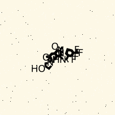 C[C@@H](Nc1nn(C)c(=O)c2cc(=O)n(N3CCC(O)C3)cc12)c1cccc(C(F)(F)F)c1F